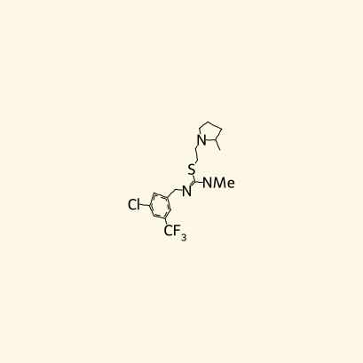 CN/C(=N/Cc1cc(Cl)cc(C(F)(F)F)c1)SCCN1CCCC1C